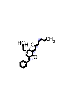 C#CCN1C\C(=C/C(C)=C/C=C\C=C)C(=O)/C(=C/c2ccccc2)C1